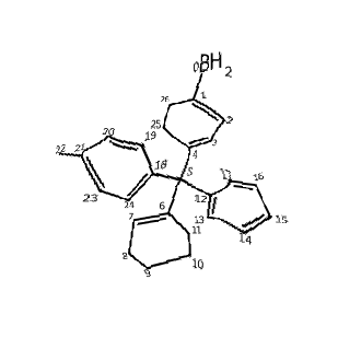 BC1=CC=C(C(C2=CCCCC2)(c2ccccc2)c2ccc(C)cc2)CC1